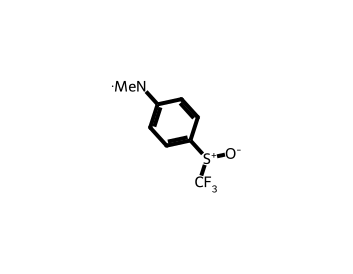 C[N]c1ccc([S+]([O-])C(F)(F)F)cc1